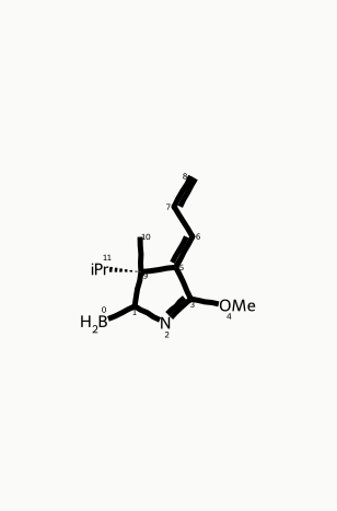 BC1N=C(OC)/C(=C/C=C)[C@@]1(C)C(C)C